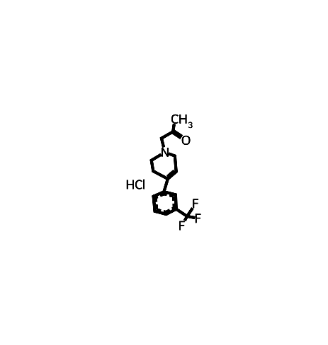 CC(=O)CN1CC=C(c2cccc(C(F)(F)F)c2)CC1.Cl